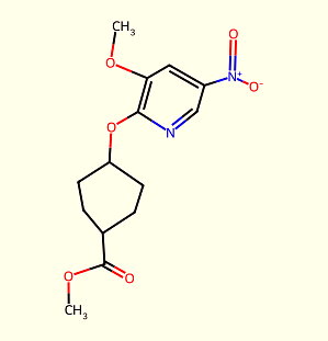 COC(=O)C1CCC(Oc2ncc([N+](=O)[O-])cc2OC)CC1